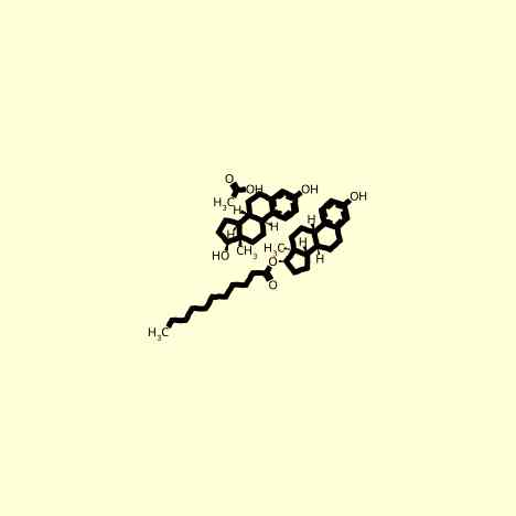 CC(=O)O.CCCCCCCCCCC(=O)O[C@H]1CC[C@H]2[C@@H]3CCc4cc(O)ccc4[C@H]3CC[C@]12C.C[C@]12CC[C@@H]3c4ccc(O)cc4CC[C@H]3[C@@H]1CC[C@@H]2O